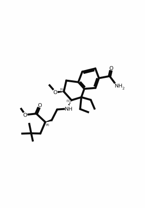 CCC1(CC)c2cc(C(N)=O)ccc2C[C@H](OC)[C@H]1NCC[C@@H](CC(C)(C)C)C(=O)OC